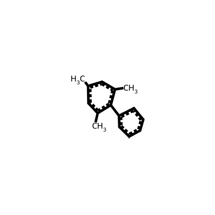 Cc1cc(C)c(-c2c[c]ccc2)c(C)c1